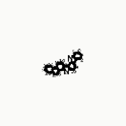 c1ccc2c(c1)N=c1c-2ccc2c1=c1ccc3c(ccc4ccccc43)c1=N2